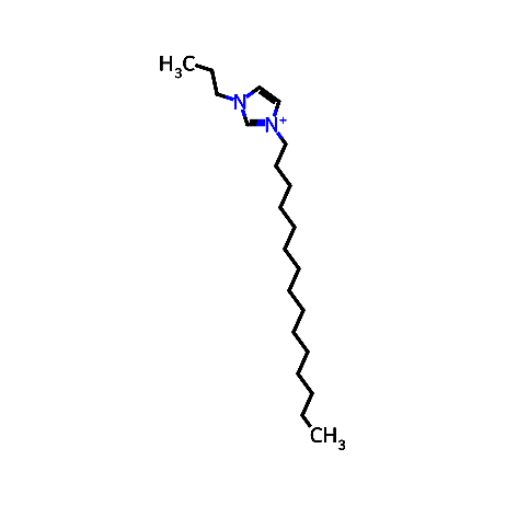 CCCCCCCCCCCCCCC[n+]1ccn(CCC)c1